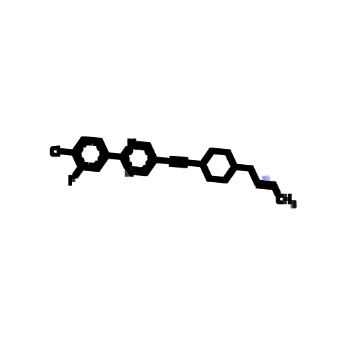 C/C=C/CC1CCC(C#Cc2cnc(-c3ccc(Cl)c(F)c3)nc2)CC1